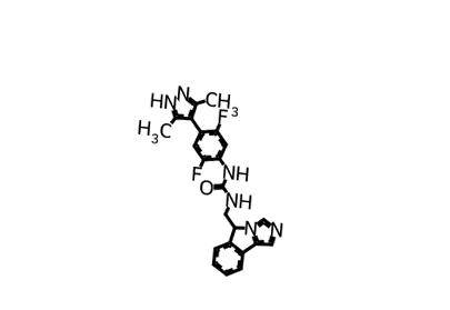 Cc1n[nH]c(C)c1-c1cc(F)c(NC(=O)NCC2c3ccccc3-c3cncn32)cc1F